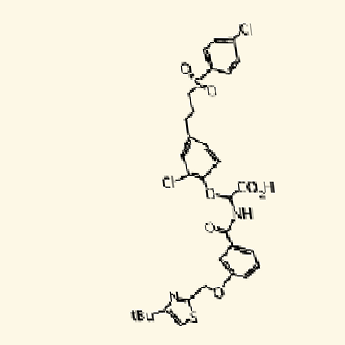 CC(C)(C)c1csc(COc2cccc(C(=O)NC(Oc3ccc(CCCS(=O)(=O)c4ccc(Cl)cc4)cc3Cl)C(=O)O)c2)n1